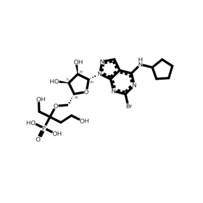 O=P(O)(O)C(CO)(CCO)OC[C@H]1O[C@@H](n2ncc3c(NC4CCCC4)nc(Br)nc32)[C@H](O)[C@@H]1O